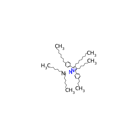 CCCCCCCCC1=C(c2ccc(CCCCCCCC)cc2)[N+](=[N-])C(c2ccc(CCCC)cc2)=C1CCCCCC.CCCCCC[CH2][Ni][CH2]CCCCCC